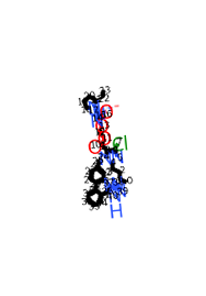 CCCCc1nc(Cl)c(C(=O)OCO/N=[N+](\[O-])N2CCC[C@H]2CC)n1Cc1ccc(-c2ccccc2-c2nnn[nH]2)cc1